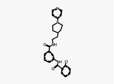 O=C(NCCC1CCN(c2ccncc2)CC1)c1cccc(NC(=O)c2ccccc2Cl)c1